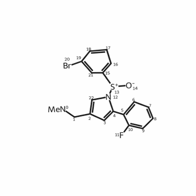 CNCc1cc(-c2ccccc2F)n([S+]([O-])c2cccc(Br)c2)c1